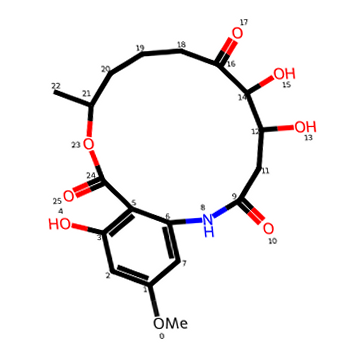 COc1cc(O)c2c(c1)NC(=O)CC(O)C(O)C(=O)CCCC(C)OC2=O